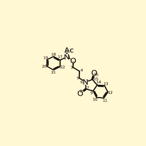 CC(=O)N(OCCCN1C(=O)c2ccccc2C1=O)c1ccccc1